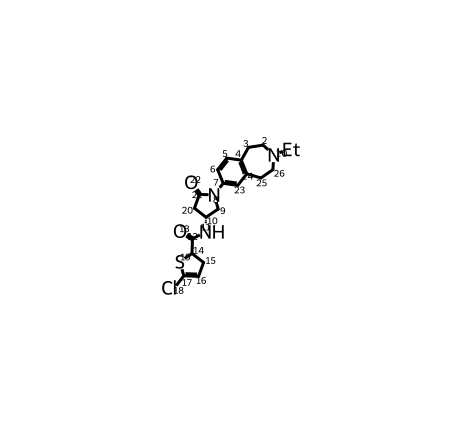 CCN1CCc2ccc(N3C[C@H](NC(=O)C4CC=C(Cl)S4)CC3=O)cc2CC1